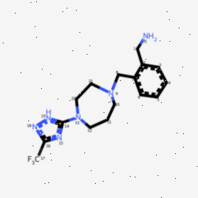 NCc1ccccc1CN1CCCN(c2nc(C(F)(F)F)n[nH]2)CC1